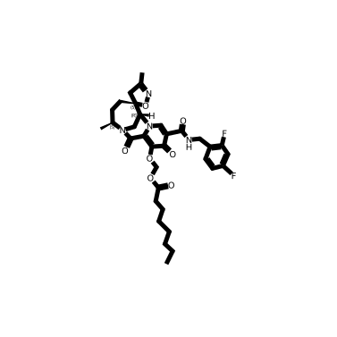 CCCCCCCC(=O)OCOc1c2n(cc(C(=O)NCc3ccc(F)cc3F)c1=O)[C@@H]1CN(C2=O)[C@@H](C)CC[C@]12CC(C)=NO2